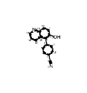 N#Cc1ccc(-c2c(O)ccc3ncccc23)cc1